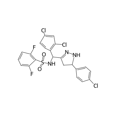 O=S(=O)(NC(C1=NNC(c2ccc(Cl)cc2)C1)c1ccc(Cl)cc1Cl)c1c(F)cccc1F